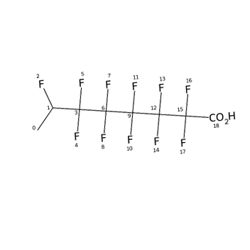 CC(F)C(F)(F)C(F)(F)C(F)(F)C(F)(F)C(F)(F)C(=O)O